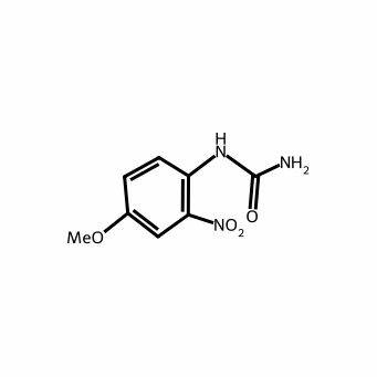 COc1ccc(NC(N)=O)c([N+](=O)[O-])c1